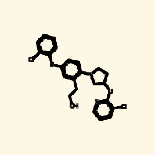 OCCc1cc(Oc2ccccc2Cl)ccc1N1CCC(Oc2ncccc2Cl)C1